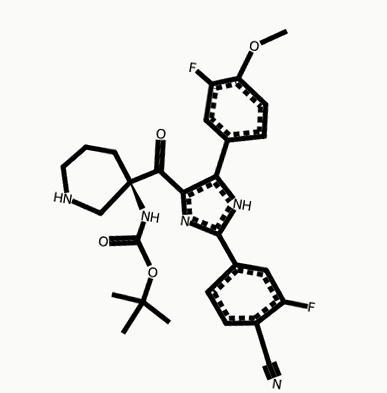 COc1ccc(-c2[nH]c(-c3ccc(C#N)c(F)c3)nc2C(=O)[C@@]2(NC(=O)OC(C)(C)C)CCCNC2)cc1F